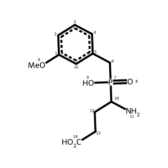 COc1cccc(CP(=O)(O)C(N)CCC(=O)O)c1